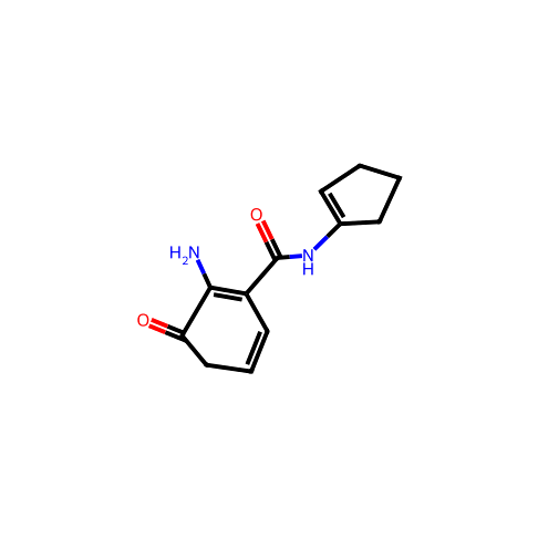 NC1=C(C(=O)NC2=CCCC2)C=CCC1=O